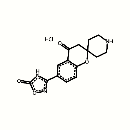 Cl.O=C1CC2(CCNCC2)Oc2ccc(-c3noc(=O)[nH]3)cc21